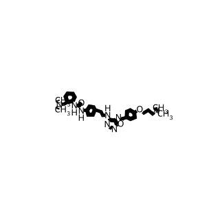 CN(C)CCCOc1ccc(-c2nc3c(NCCc4ccc(NC(=O)Nc5ccccc5CN(C)C)cc4)ncnc3o2)cc1